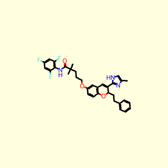 Cc1c[nH]c(C2=Cc3cc(OCCCC(C)(C)C(=O)Nc4c(F)cc(F)cc4F)ccc3OC2CCc2ccccc2)n1